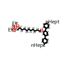 CCCCCCCc1ccc(-c2ccc(-c3ccc(CCCCCCC)cc3)c(OCCCCCCCCCCCP(=O)(OCC)OCC)c2)cc1